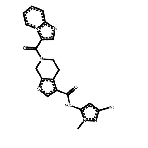 CC(C)c1cc(NC(=O)c2csc3c2CCN(C(=O)c2cnc4ccccn24)C3)n(C)n1